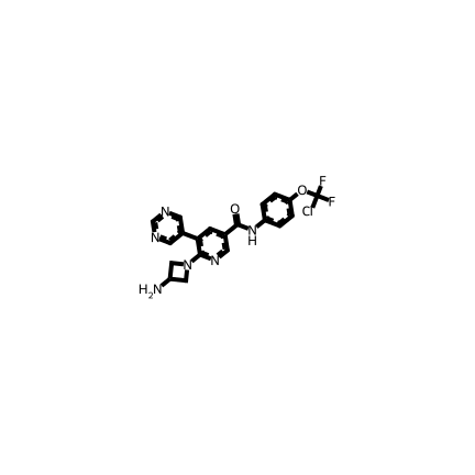 NC1CN(c2ncc(C(=O)Nc3ccc(OC(F)(F)Cl)cc3)cc2-c2cncnc2)C1